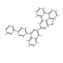 c1ccc(-c2ccc(-c3nc(-c4cc5sc6cccc7c8ccccc8c(c4)c5c67)nc4ccccc34)cc2)cc1